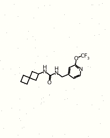 O=C(NCc1ccnc(OC(F)(F)F)c1)NC1CC2(CCC2)C1